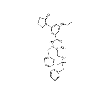 CCNc1cc(C(=O)N[C@@H](Cc2ccccc2)[C@H](O)CNC(C)(C)Cc2ccccc2)cc(N2CCCC2=O)c1